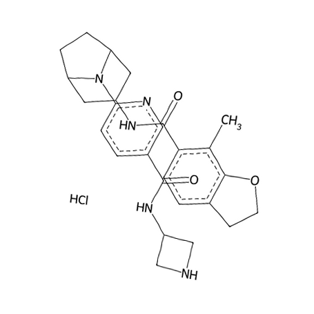 Cc1c(C(=O)NC2CC3CCC(C2)N3c2ccc(C(=O)NC3CNC3)cn2)ccc2c1OCC2.Cl